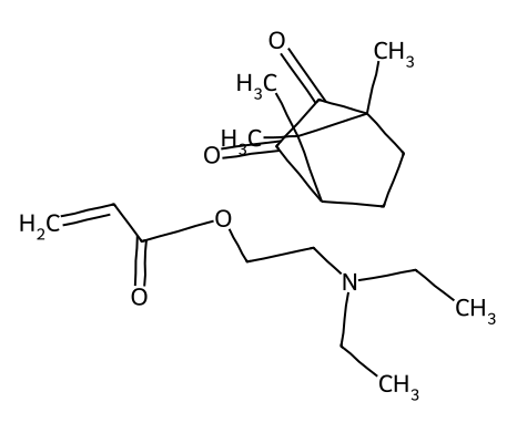 C=CC(=O)OCCN(CC)CC.CC12CCC(C(=O)C1=O)C2(C)C